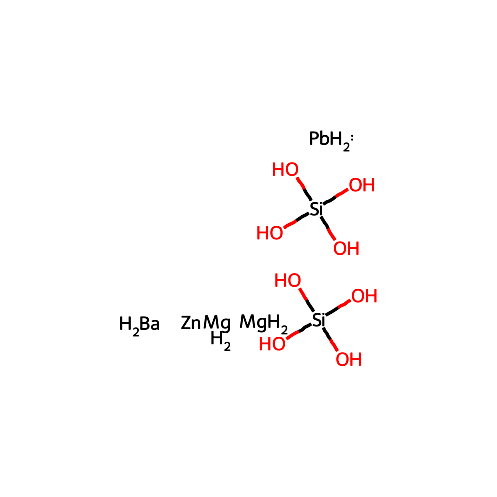 O[Si](O)(O)O.O[Si](O)(O)O.[BaH2].[MgH2].[MgH2].[PbH2].[Zn]